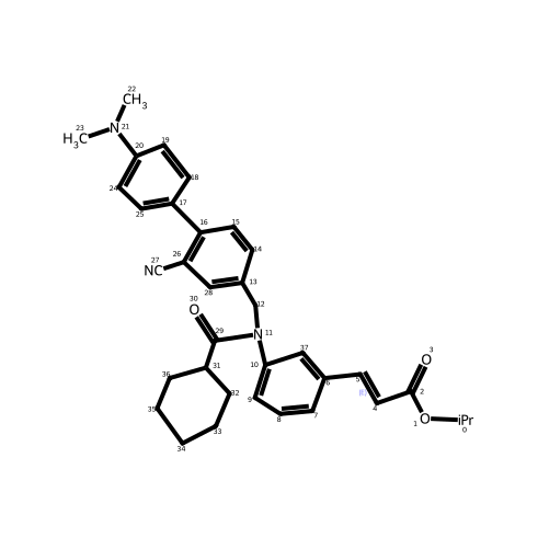 CC(C)OC(=O)/C=C/c1cccc(N(Cc2ccc(-c3ccc(N(C)C)cc3)c(C#N)c2)C(=O)C2CCCCC2)c1